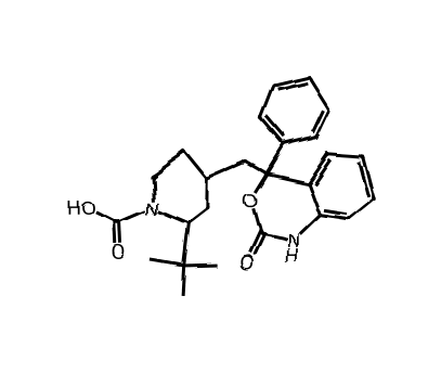 CC(C)(C)C1CC(CC2(c3ccccc3)OC(=O)Nc3ccccc32)CCN1C(=O)O